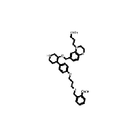 COCCCN1CCSc2ccc(COC3CNCCC3c3ccc(OCCCOCc4ccccc4OC)cc3)cc21